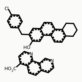 O=C(O)c1ccnc2c1ccc1ccncc12.Oc1cc2c(ccc3c4c(ccc32)CCCC4)cc1Cc1ccc(Cl)cc1